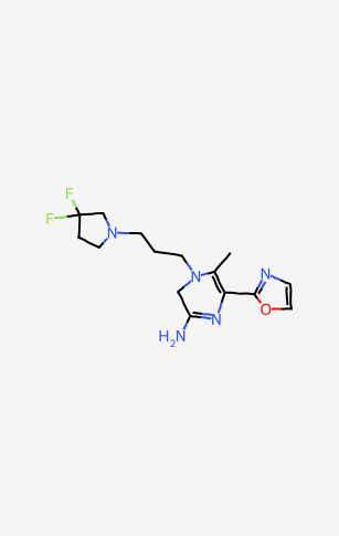 CC1=C(c2ncco2)N=C(N)CN1CCCN1CCC(F)(F)C1